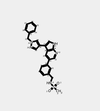 CS(=O)(=O)NCc1cccc(-c2cnc3[nH]cc(-c4cnn(Cc5ccccc5)c4)c3c2)c1